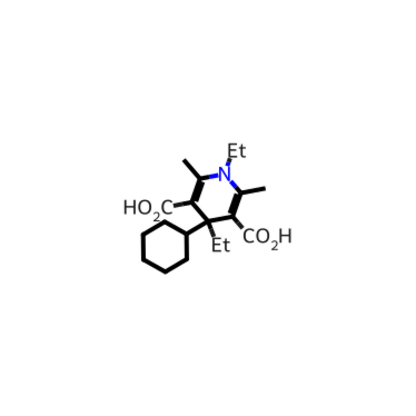 CCN1C(C)=C(C(=O)O)C(CC)(C2CCCCC2)C(C(=O)O)=C1C